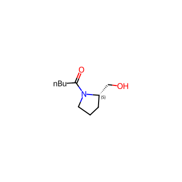 CCCCC(=O)N1CCC[C@H]1CO